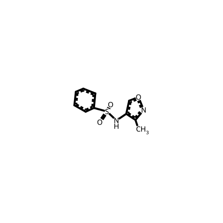 Cc1nocc1NS(=O)(=O)c1ccccc1